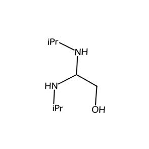 CC(C)NC(CO)NC(C)C